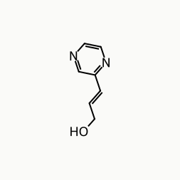 OC/C=C/c1cnccn1